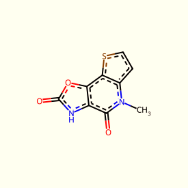 Cn1c(=O)c2[nH]c(=O)oc2c2sccc21